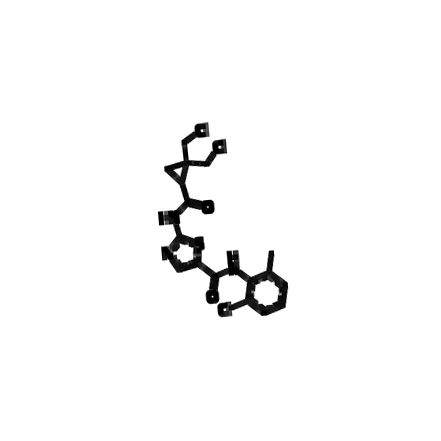 Cc1cccc(Cl)c1NC(=O)c1cnc(NC(=O)C2CC2(CCl)CCl)s1